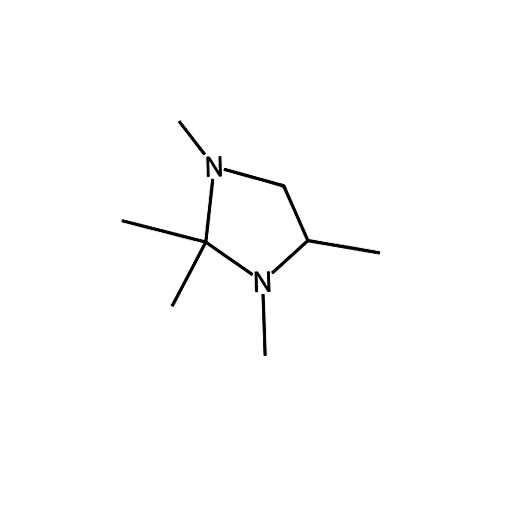 CC1CN(C)C(C)(C)N1C